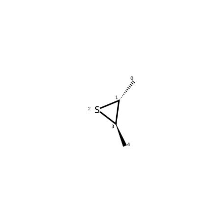 C[C@H]1S[C@@H]1C